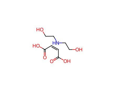 O=C(O)/C=C\C(=O)O.OCCNCCO